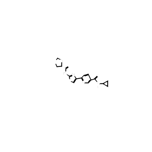 O=C(NC1CC1)c1ccc(-c2csc(NC(=O)[C@@H]3COCN3)n2)nc1